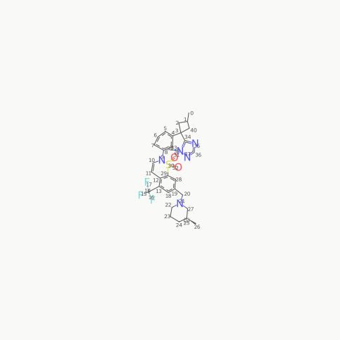 CC1CC(c2cccc(N3C=Cc4c(C(F)(F)F)cc(CN5CCC[C@H](C)C5)cc4S3(=O)=O)c2)(c2ncnn2C)C1